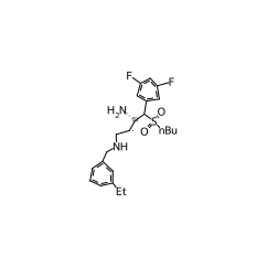 CCCCS(=O)(=O)C(c1cc(F)cc(F)c1)[C@@H](N)[CH]CNCc1cccc(CC)c1